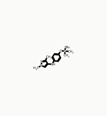 Cc1nn(C)cc1Nc1ccc(O[Si](C)(C)C(C)(C)C)cc1